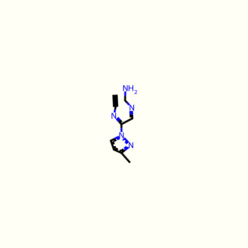 C#C/N=C(\C=N/CN)n1ccc(C)n1